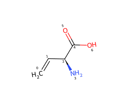 C=C[C@H](N)C(=O)O